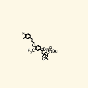 CC1=NC(CCc2ccc(OCCCc3ccc(F)c(C)c3)c(C(F)(F)F)c2)(COP(=O)(C(C)(C)C)C(C)(C)C)CO1